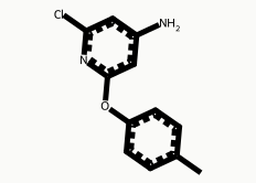 Cc1ccc(Oc2cc(N)cc(Cl)n2)cc1